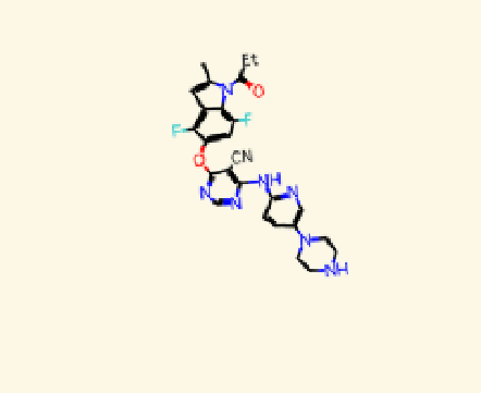 CCC(=O)n1c(C)cc2c(F)c(Oc3ncnc(Nc4ccc(N5CCNCC5)cn4)c3C#N)cc(F)c21